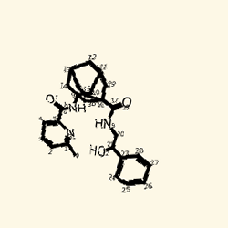 Cc1cccc(C(=O)NC23CC4CC(C2)CC(C(=O)NCC(O)c2ccccc2)(C4)C3)n1